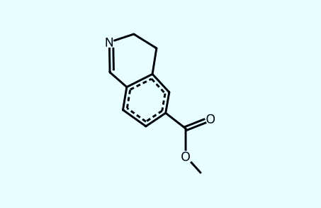 COC(=O)c1ccc2c(c1)CCN=C2